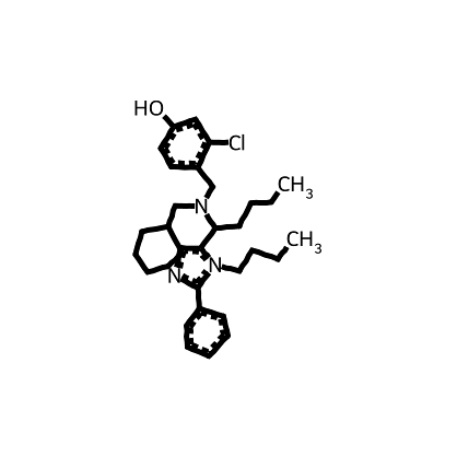 CCCCC(c1cnc(-c2ccccc2)n1CCCC)N(Cc1ccc(O)cc1Cl)CC1CCCCC1